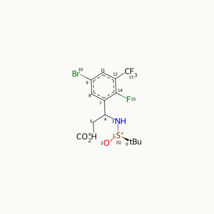 CC(C)(C)[S@@+]([O-])NC(CC(=O)O)c1cc(Br)cc(C(F)(F)F)c1F